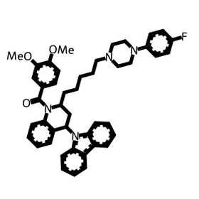 COc1ccc(C(=O)N2c3ccccc3C(n3c4ccccc4c4ccccc43)CC2CCCCCN2CCN(c3ccc(F)cc3)CC2)cc1OC